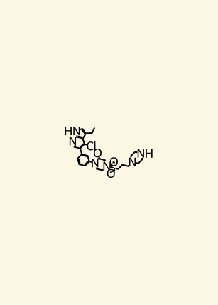 CCc1c[nH]c2ncc(-c3cccc(N4CCN(S(=O)(=O)CCCN5CCNCC5)CC4=O)c3)c(Cl)c12